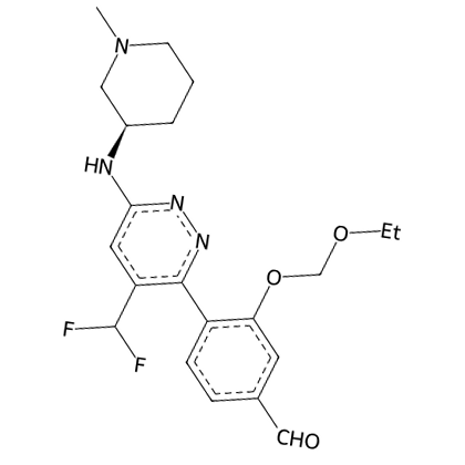 CCOCOc1cc(C=O)ccc1-c1nnc(N[C@@H]2CCCN(C)C2)cc1C(F)F